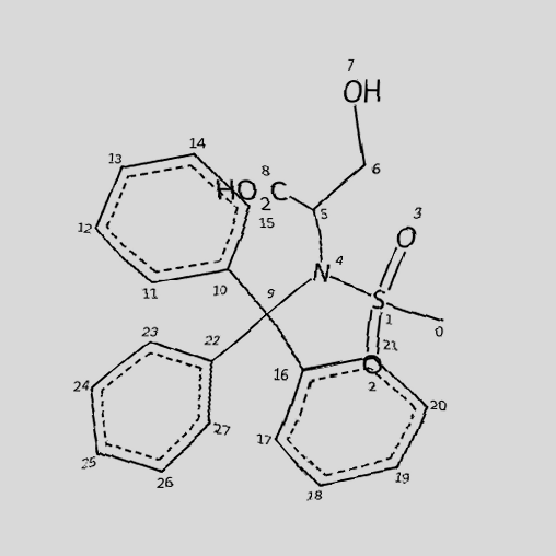 CS(=O)(=O)N(C(CO)C(=O)O)C(c1ccccc1)(c1ccccc1)c1ccccc1